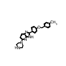 Cc1ccc(COc2ccc(-c3nc4ccc(N5CCNCC5)nc4[nH]3)cc2)cc1